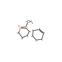 C1=CCCCC1.C[SiH]1CCCCO1